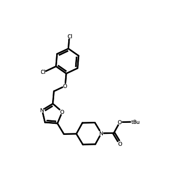 CC(C)(C)OC(=O)N1CCC(Cc2cnc(COc3ccc(Cl)cc3Cl)o2)CC1